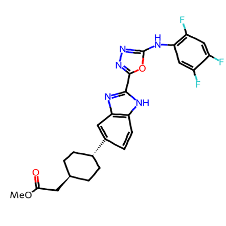 COC(=O)C[C@H]1CC[C@H](c2ccc3[nH]c(-c4nnc(Nc5cc(F)c(F)cc5F)o4)nc3c2)CC1